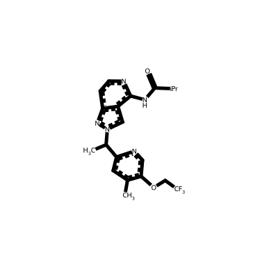 Cc1cc(C(C)n2cc3c(NC(=O)C(C)C)nccc3n2)ncc1OCC(F)(F)F